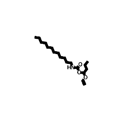 C=COC(CCC)OC(=O)NCCCCCCCCCCCC